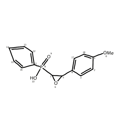 COc1ccc(C2OC2P(=O)(O)c2ccccc2)cc1